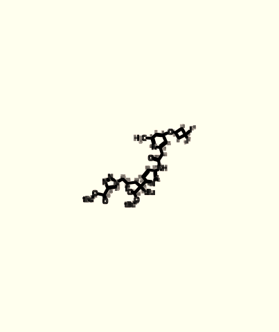 Cc1cc(OC2CC(F)(F)C2)cc(CC(=O)Nc2ccc(C(C[C@@H](F)Cn3cc(C(=O)OC(C)(C)C)nn3)(C(=O)OC(C)(C)C)C(C)(C)C)nn2)n1